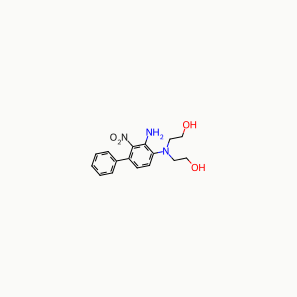 Nc1c(N(CCO)CCO)ccc(-c2ccccc2)c1[N+](=O)[O-]